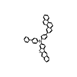 c1ccc(-c2ccc(N(c3ccc(-c4ccc5ccc6c7ccccc7ccc6c5c4)cc3)c3ccc4c(c3)sc3cc5ccccc5cc34)cc2)cc1